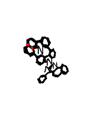 c1ccc(-c2nc(-n3c4cccc5c6cccc7c8ccccc8n(c8c(-c9ccccc9)ccc3c8c54)c67)nc3c2ccc2ccccc23)cc1